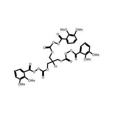 CCC(COC(=O)OOC(=O)c1cccc(OC)c1OC)(COC(=O)OOC(=O)c1cccc(OC)c1OC)COC(=O)OOC(=O)c1cccc(OC)c1OC